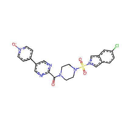 O=C(c1ncc(-c2cc[n+]([O-])cc2)cn1)N1CCN(S(=O)(=O)n2cc3ccc(Cl)cc3c2)CC1